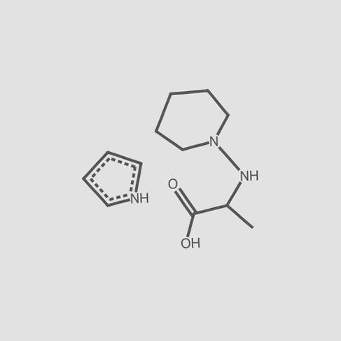 CC(NN1CCCCC1)C(=O)O.c1cc[nH]c1